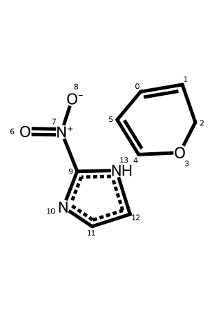 C1=CCOC=C1.O=[N+]([O-])c1ncc[nH]1